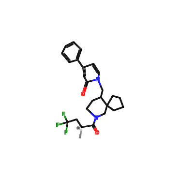 C[C@H](CC(F)(F)F)C(=O)N1CCC(Cn2ccc(-c3ccccc3)cc2=O)C2(CCCC2)C1